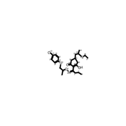 CCCC(=NOC(C)COc1ccc(Cl)cc1)C1=C(O)CC(CC(C)SCC)CC1=O